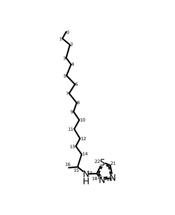 CCCCCCCCCCCCCCCC(C)Nc1nncs1